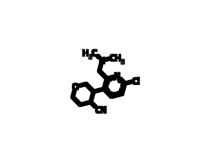 CN(C)Cc1nc(Cl)ccc1C1COCCC1C#N